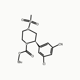 CC(C)(C)OC(=O)N1CCN(S(C)(=O)=O)C[C@H]1c1cc(Cl)cc(C#N)c1